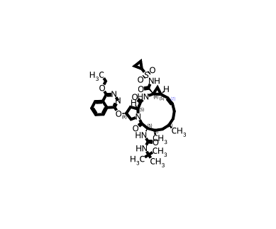 CCOc1nnc(O[C@@H]2C[C@H]3C(=O)N[C@]4(C(=O)NS(=O)(=O)C5CC5)C[C@H]4/C=C\CC[C@@H](C)C[C@@H](C)[C@H](NC(=O)NC(C)(C)C)C(=O)N3C2)c2ccccc12